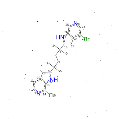 CC(C)(CCC(C)(C)c1cc2ccnc(Cl)c2[nH]1)c1cc2c(Br)cncc2[nH]1